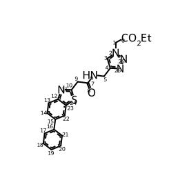 CCOC(=O)Cn1cc(CNC(=O)Cc2nc3ccc(-c4ccccc4)cc3s2)nn1